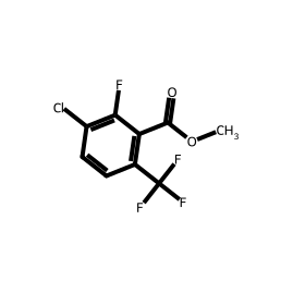 COC(=O)c1c(C(F)(F)F)ccc(Cl)c1F